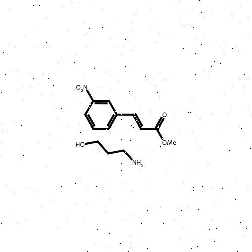 COC(=O)C=Cc1cccc([N+](=O)[O-])c1.NCCCO